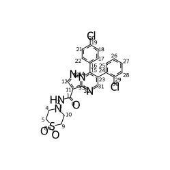 O=C(NN1CCS(=O)(=O)CC1)c1cnn2c(-c3ccc(Cl)cc3)c(-c3ccccc3Cl)cnc12